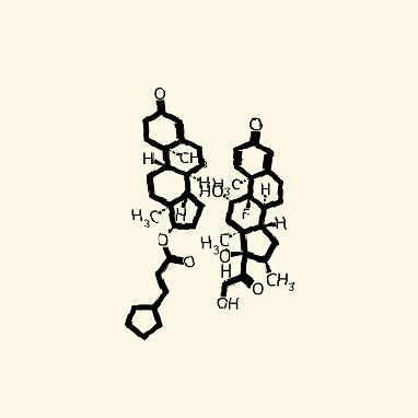 C[C@@H]1C[C@H]2[C@@H]3CCC4=CC(=O)C=C[C@]4(C)[C@@]3(F)[C@@H](O)C[C@]2(C)[C@@]1(O)C(=O)CO.C[C@]12CC[C@H]3[C@@H](CCC4=CC(=O)CC[C@@]43C)[C@@H]1CC[C@@H]2OC(=O)CCC1CCCC1